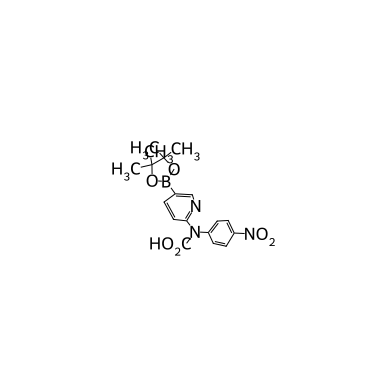 CC1(C)OB(c2ccc(N(C(=O)O)c3ccc([N+](=O)[O-])cc3)nc2)OC1(C)C